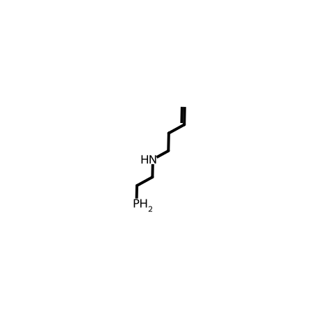 C=CCCNCCP